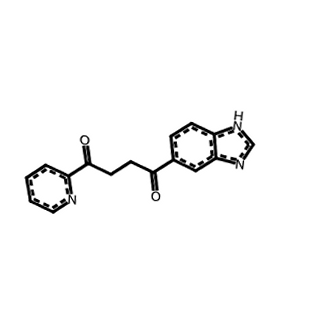 O=C(CCC(=O)c1ccccn1)c1ccc2[nH]cnc2c1